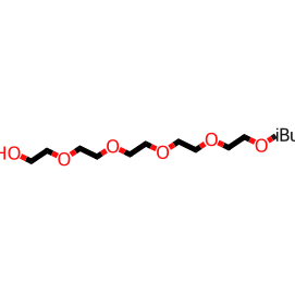 CCC(C)OCCOCCOCCOCCOCCO